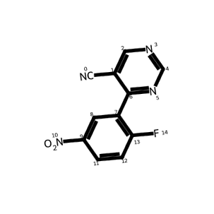 N#Cc1cncnc1-c1cc([N+](=O)[O-])ccc1F